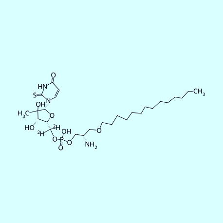 [2H]C([2H])(OP(=O)(O)OC[C@@H](N)COCCCCCCCCCCCCCC)[C@H]1O[C@@H](n2ccc(=O)[nH]c2=S)C(C)(O)[C@H]1O